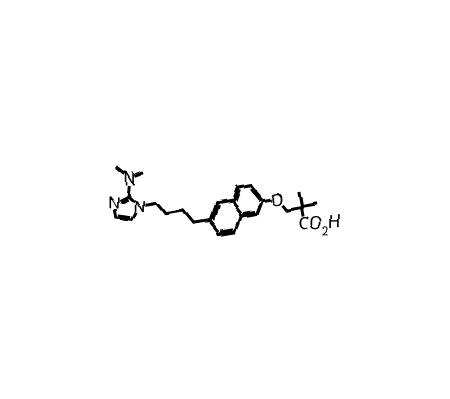 CN(C)c1nccn1CCCCc1ccc2cc(OCC(C)(C)C(=O)O)ccc2c1